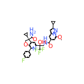 COc1cc(C(=O)NCC(O)(c2cc3c(c(-c4ccc(F)cc4)n2)OC[C@@]3(C(N)=O)C2CC2)C(F)(F)F)cc2cc(C3CC3)nn12